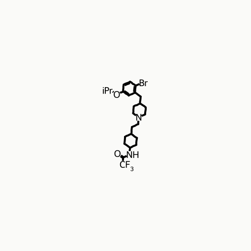 CC(C)Oc1ccc(Br)c(CC2CCN(CCC3CCC(NC(=O)C(F)(F)F)CC3)CC2)c1